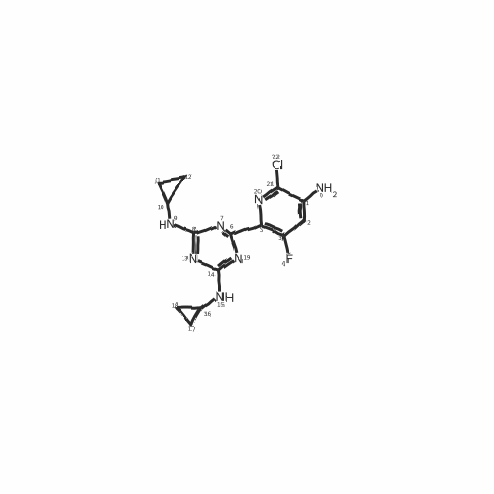 Nc1cc(F)c(-c2nc(NC3CC3)nc(NC3CC3)n2)nc1Cl